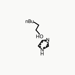 CCCCCCO.c1c[nH]cn1